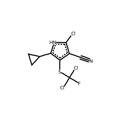 N#Cc1c(Cl)[nH]c(C2CC2)c1SC(F)(Cl)Cl